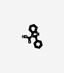 O=C(O)n1c(-c2ccccc2)nc2[c]cccc21